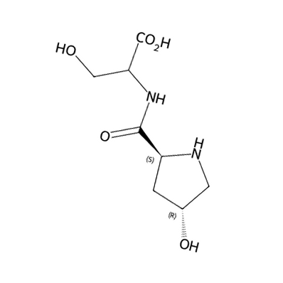 O=C(O)C(CO)NC(=O)[C@@H]1C[C@@H](O)CN1